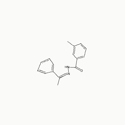 CC(=NNC(=O)c1cccc(C)c1)c1ccccc1